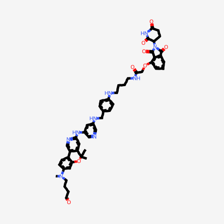 CN(CCCC=O)c1ccc2c(c1)OC(C)(C)c1cc(Nc3cncc(NCc4ccc(NCCCCNC(=O)COc5cccc6c5C(=O)N(C5CCC(=O)NC5=O)C6=O)cc4)c3)ncc1-2